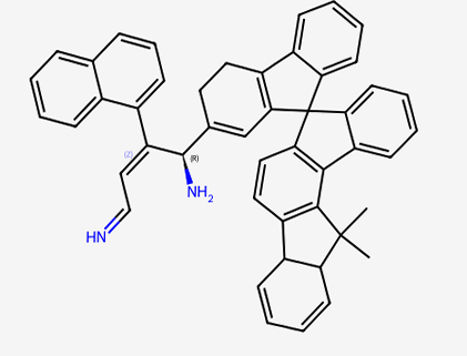 CC1(C)c2c(ccc3c2-c2ccccc2C32C3=C(CCC([C@@H](N)/C(=C\C=N)c4cccc5ccccc45)=C3)c3ccccc32)C2C=CC=CC21